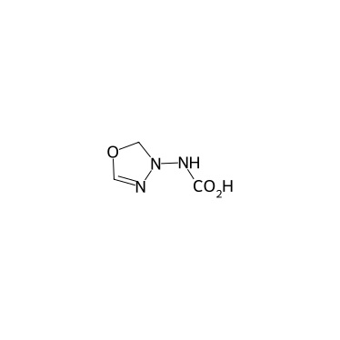 O=C(O)NN1COC=N1